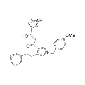 COc1ccc(Cn2cc(CCc3ccccc3)c(C(=O)C=C(O)c3nn[nH]n3)c2)cc1